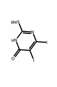 CSc1nc(I)c(I)c(=O)[nH]1